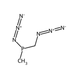 CP(CN=[N+]=[N-])N=[N+]=[N-]